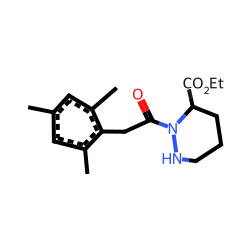 CCOC(=O)C1CCCNN1C(=O)Cc1c(C)cc(C)cc1C